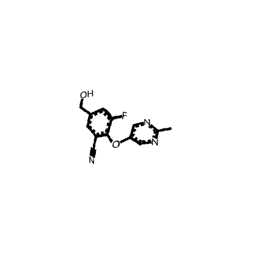 Cc1ncc(Oc2c(F)cc(CO)cc2C#N)cn1